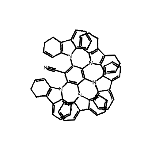 N#Cc1c(-n2c3c(c4ccccc42)CCC=C3)c(-n2c3c(c4c2C=CCC4)CCC=C3)c(-n2c3ccccc3c3ccccc32)c(-n2c3ccccc3c3ccccc32)c1-n1c2c(c3ccccc31)CCC=C2